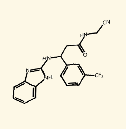 N#CCNC(=O)CC(Nc1nc2ccccc2[nH]1)c1cccc(C(F)(F)F)c1